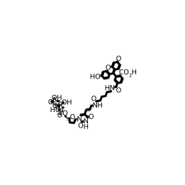 O=C(CCCCCNC(=O)c1ccc(C(=O)O)c(-c2c3ccc(=O)cc-3oc3cc(O)ccc23)c1)NC/C=C/c1cn([C@H]2CC[C@@H](COP(=O)(O)CP(=O)(O)CP(=O)(O)O)O2)c(=O)[nH]c1=O